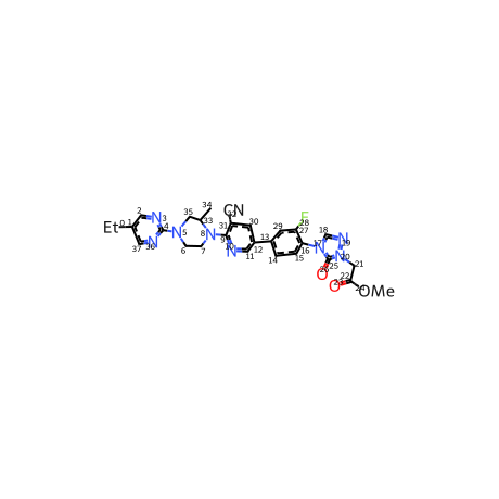 CCc1cnc(N2CCN(c3ncc(-c4ccc(-n5cnn(CC(=O)OC)c5=O)c(F)c4)cc3C#N)C(C)C2)nc1